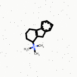 C[N+](C)(C)C1CCCC2=C1Cc1ccccc12